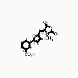 CN1C(=O)NC(=O)/C1=C/c1ccc(-c2cccc(C(=O)O)c2)o1